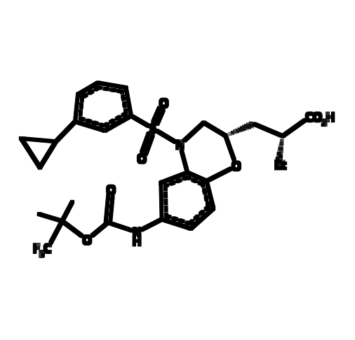 CC[C@H](C[C@H]1CN(S(=O)(=O)c2cccc(C3CC3)c2)c2cc(NC(=O)OC(C)(C)C(F)(F)F)ccc2O1)C(=O)O